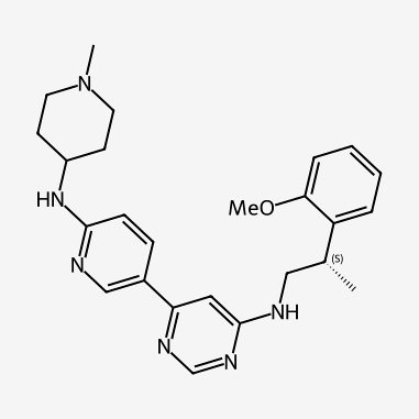 COc1ccccc1[C@H](C)CNc1cc(-c2ccc(NC3CCN(C)CC3)nc2)ncn1